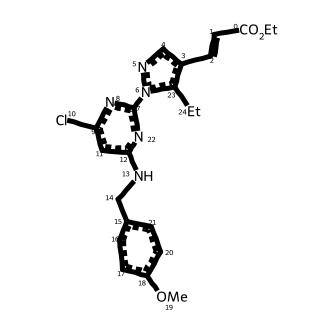 CCOC(=O)/C=C/c1cnn(-c2nc(Cl)cc(NCc3ccc(OC)cc3)n2)c1CC